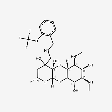 CN[C@@H]1[C@H](O)[C@H](NC)[C@H]2O[C@]3(O)[C@H](OC2[C@H]1O)O[C@H](C)CC3(O)CNCc1ccccc1OC(F)(F)F